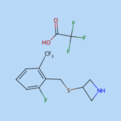 Fc1cccc(C(F)(F)F)c1CSC1CNC1.O=C(O)C(F)(F)F